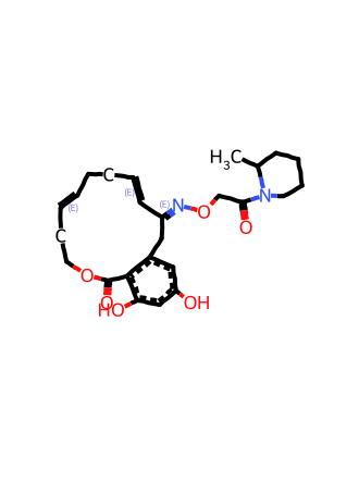 CC1CCCCN1C(=O)CO/N=C1/C=C/CC/C=C/CCOC(=O)c2c(O)cc(O)cc2C1